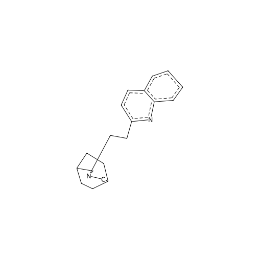 c1ccc2nc(CCN3CC4CCC(CC4)C3)ccc2c1